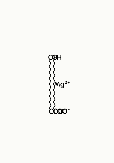 O=C([O-])CCCCCCCCCCCCCCCCCO.O=C([O-])CCCCCCCCCCCCCCCCCO.[Mg+2]